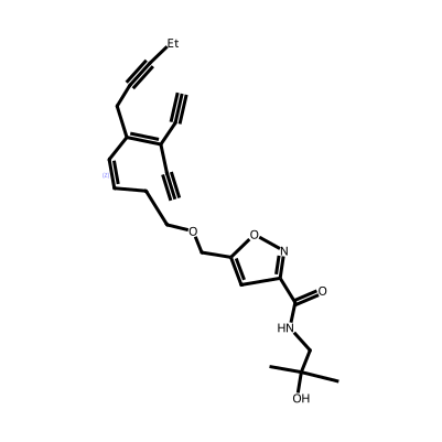 C#CC(C#C)=C(/C=C\CCOCc1cc(C(=O)NCC(C)(C)O)no1)CC#CCC